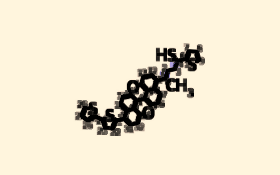 C/C(=C\C=C(/S)c1cccs1)c1ccc2oc3ccc4c(-c5ccc(-c6cccs6)s5)ccc5oc6ccc1c2c6-c3c54